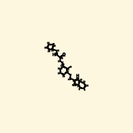 Cc1c(CSc2nc3ccccc3[nH]2)cccc1SCC(=O)NCc1cccs1